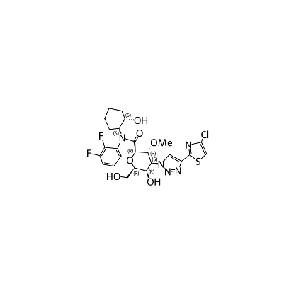 CO[C@@H]1[C@@H](n2cc(-c3nc(Cl)cs3)nn2)[C@@H](O)[C@@H](CO)O[C@H]1C(=O)N(c1cccc(F)c1F)[C@H]1CCCC[C@@H]1O